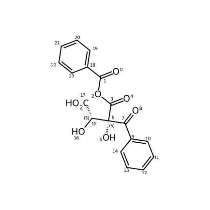 O=C(OC(=O)[C@@](O)(C(=O)c1ccccc1)[C@H](O)C(=O)O)c1ccccc1